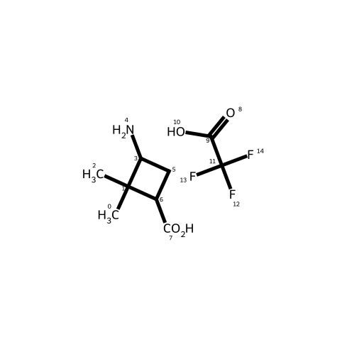 CC1(C)C(N)CC1C(=O)O.O=C(O)C(F)(F)F